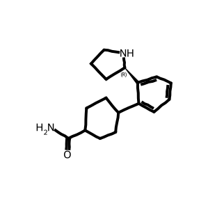 NC(=O)C1CCC(c2ccccc2[C@H]2CCCN2)CC1